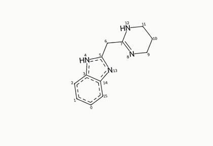 c1ccc2[nH]c(CC3=NCCCN3)nc2c1